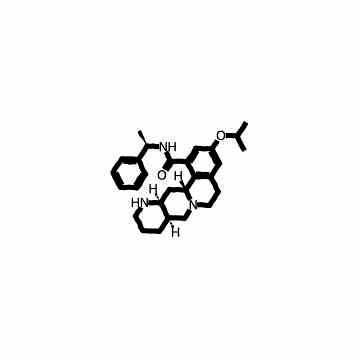 CC(C)Oc1cc2c(c(C(=O)N[C@H](C)c3ccccc3)c1)[C@H]1C[C@@H]3NCCC[C@@H]3CN1CC2